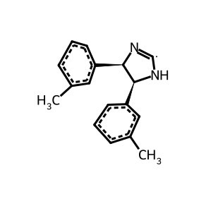 Cc1cccc([C@H]2N=[C]N[C@H]2c2cccc(C)c2)c1